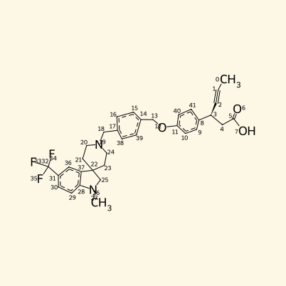 CC#C[C@@H](CC(=O)O)c1ccc(OCc2ccc(CN3CCC4(CC3)CN(C)c3ccc(C(F)(F)F)cc34)cc2)cc1